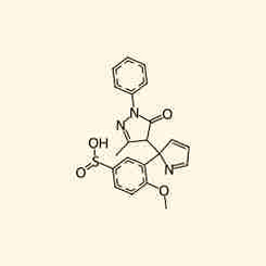 COc1ccc(S(=O)O)cc1C1(C2C(=O)N(c3ccccc3)N=C2C)C=CC=N1